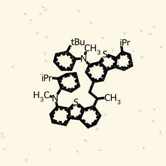 CC(C)c1ccccc1N(C)c1cccc2c1sc1c(C(C)Cc3cc(N(C)c4ccccc4C(C)(C)C)c4sc5c(C(C)C)cccc5c4c3)cccc12